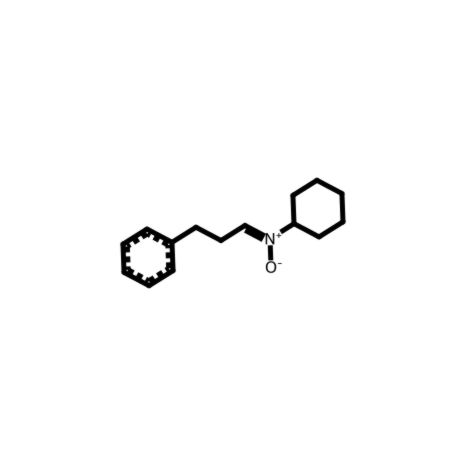 [O-][N+](=CCCc1ccccc1)C1CCCCC1